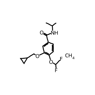 C.CC(C)NC(=O)c1ccc(OC(F)F)c(OCC2CC2)c1